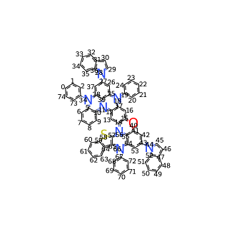 c1ccc(-n2c3ccccc3n3c4cc5c(cc4n(-c4ccccc4)c4cc(-n6ccc7ccccc76)cc2c43)oc2cc(-n3ccc4ccccc43)cc3c2n5c2sc4ccccc4c2n3-c2ccccc2)cc1